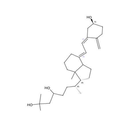 C=C1CC[C@H](O)C/C1=C/C=C1\CCCC2(C)C1CC[C@@H]2[C@H](C)CCC(O)CC(C)(C)O